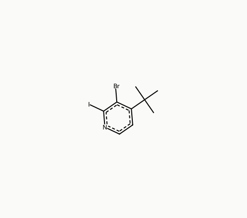 CC(C)(C)c1ccnc(I)c1Br